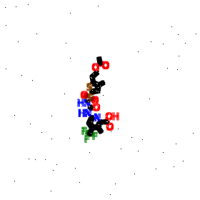 CC(=O)OCCc1sc(S(=O)(=O)NC(=O)Nc2cc(C(F)(F)F)c(C)c(C(=O)O)n2)cc1C